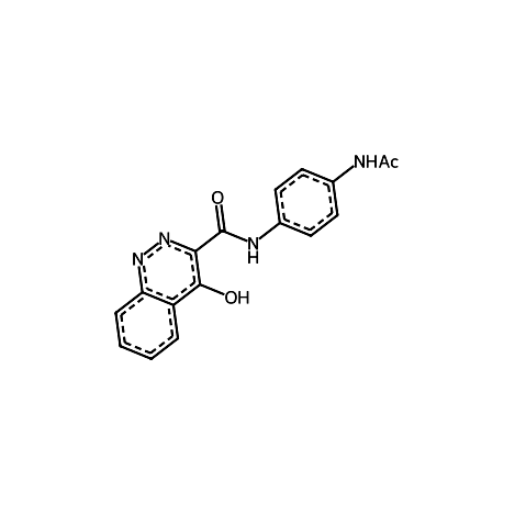 CC(=O)Nc1ccc(NC(=O)c2nnc3ccccc3c2O)cc1